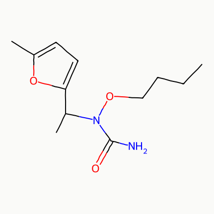 CCCCON(C(N)=O)C(C)c1ccc(C)o1